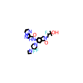 CC(C)(O)[C@H](F)CN1Cc2cc(NC(=O)c3cnn4cccnc34)c(N3CCC(N4CCC4)C(F)(F)C3)cc2C1=O